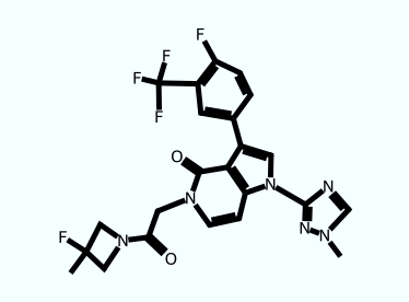 Cn1cnc(-n2cc(-c3ccc(F)c(C(F)(F)F)c3)c3c(=O)n(CC(=O)N4CC(C)(F)C4)ccc32)n1